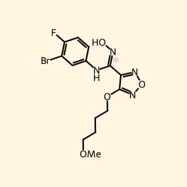 COCCCCOc1nonc1/C(=N/O)Nc1ccc(F)c(Br)c1